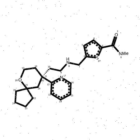 CNC(=O)c1ccc(CNCC[C@@]2(c3ccccn3)CCOC3(CCCC3)C2)s1